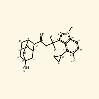 Cn1nc(C(C)(C)CC(=O)N2C3CC4CC2CC(O)(C4)C3)c2c(C3CC3)c(F)ccc21